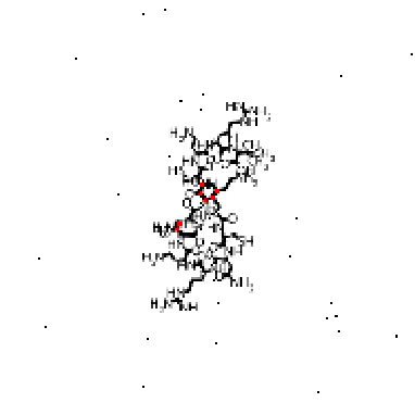 C[C@@H](O)[C@H](NC(=O)[C@H](CCN)NC(=O)[C@H](CCCNC(=N)N)NC(=O)[C@H](CC(N)=O)NC(=O)[C@H](CS)NC(=O)[C@@H](N)Cc1ccc(O)cc1)C(=O)N[C@H](CCN)C(=O)N[C@@H](CCCCN)C(=O)N[C@@H](CS)C(=O)N[C@@H](CCN)C(=O)N[C@@H](CCCNC(=N)N)C(=O)N[C@H](C(=O)O)C(C)(C)C